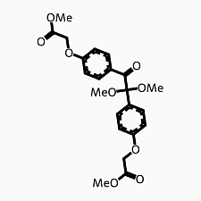 COC(=O)COc1ccc(C(=O)C(OC)(OC)c2ccc(OCC(=O)OC)cc2)cc1